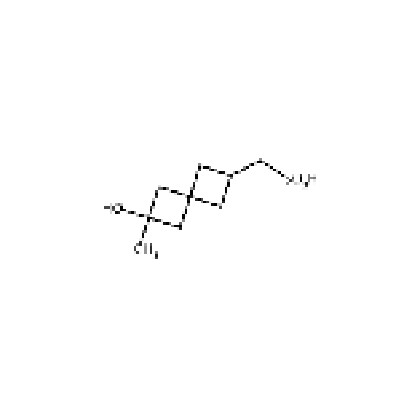 CC1(O)CC2(CC(CS(=O)(=O)O)C2)C1